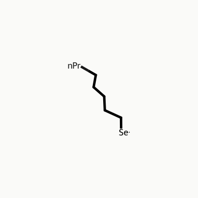 CCCCCCCC[Se]